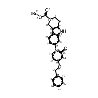 CC(C)(C)OC(=O)N1CCc2[nH]c3cc(-n4ccc(OCc5ccccc5)cc4=O)ccc3c2C1